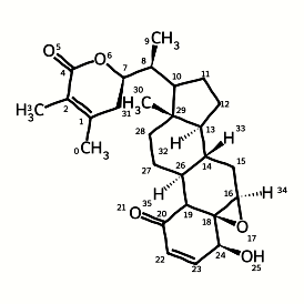 CC1=C(C)C(=O)O[C@@H]([C@@H](C)C2CC[C@H]3[C@@H]4C[C@H]5O[C@@]56C(C(=O)C=C[C@@H]6O)[C@H]4CC[C@]23C)C1